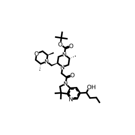 CCCC(O)c1cnc2c(c1)N(C(=O)CN1C[C@@H](C)N(C(=O)OC(C)(C)C)C[C@@H]1CN1[C@H](C)COC[C@H]1C)CC2(C)C